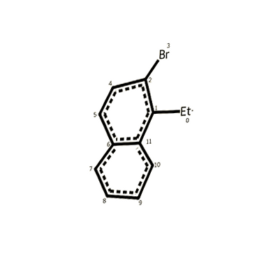 C[CH]c1c(Br)ccc2ccccc12